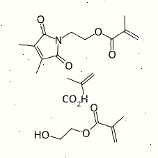 C=C(C)C(=O)O.C=C(C)C(=O)OCCN1C(=O)C(C)=C(C)C1=O.C=C(C)C(=O)OCCO